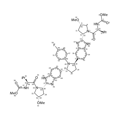 COC(=O)N[C@H](C(=O)N1C[C@@H](OC)C[C@H]1c1nc2cc([C@H]3CC[C@H](c4ccc5[nH]c([C@@H]6C[C@H](OC)CN6C(=O)[C@@H](NC(=O)OC)C(C)C)nc5c4)N3c3ccc(F)cc3)ccc2[nH]1)C(C)C